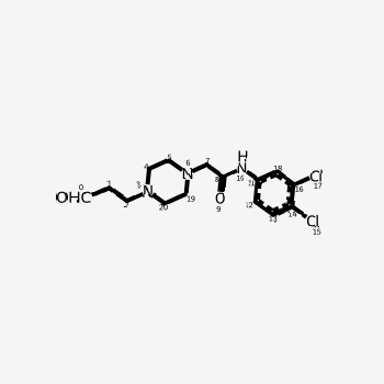 O=CCCN1CCN(CC(=O)Nc2ccc(Cl)c(Cl)c2)CC1